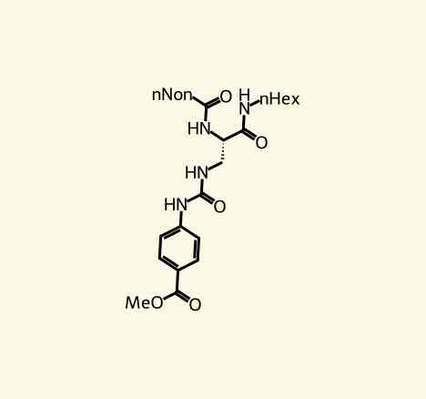 CCCCCCCCCC(=O)N[C@@H](CNC(=O)Nc1ccc(C(=O)OC)cc1)C(=O)NCCCCCC